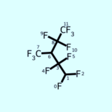 FC(F)C(F)(F)C(C(F)(F)F)C(F)(F)C(F)(F)F